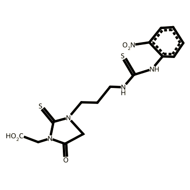 O=C(O)CN1C(=O)CN(CCCNC(=S)Nc2ccccc2[N+](=O)[O-])C1=S